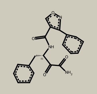 NC(=O)C(=O)[C@H](Cc1ccccc1)NC(=O)c1conc1-c1ccccc1